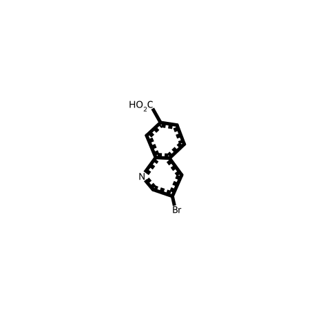 O=C(O)c1ccc2cc(Br)cnc2c1